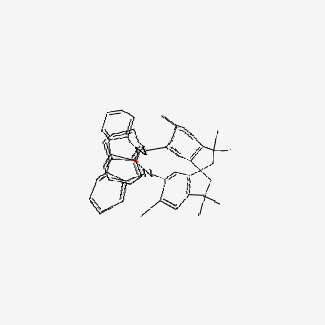 Cc1cc2c(cc1-n1c3ccccc3c3ccccc31)C1(CC2(C)C)CC(C)(C)c2cc(C)c(-n3c4ccccc4c4ccccc43)cc21